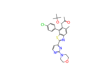 CC(=O)[C@@H](OC(C)(C)C)c1c(C)cc2nc(-c3ccnc(N4CCOCC4)n3)sc2c1-c1ccc(Cl)cc1